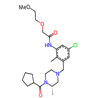 COCCOCC(=O)Nc1cc(Cl)cc(CN2CCN(C(=O)C3CCCC3)[C@@H](C)C2)c1C